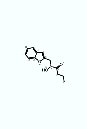 CCCC(=O)N(O)Cc1cc2ccccc2o1